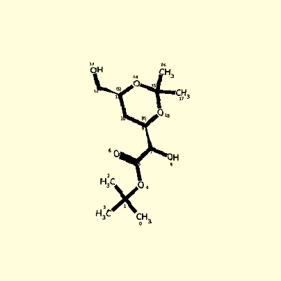 CC(C)(C)OC(=O)C(O)[C@H]1C[C@@H](CO)OC(C)(C)O1